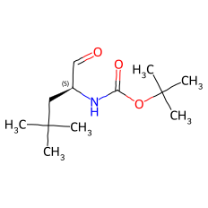 CC(C)(C)C[C@@H](C=O)NC(=O)OC(C)(C)C